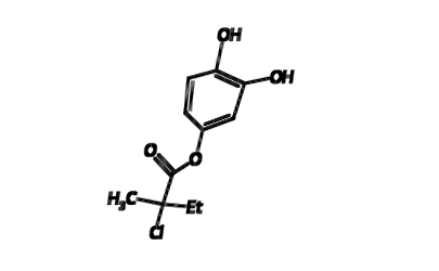 CCC(C)(Cl)C(=O)Oc1ccc(O)c(O)c1